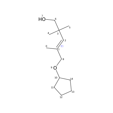 C/C(=C\C(C)(C)CO)COC1CCCC1